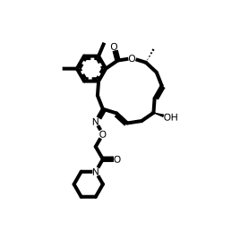 Cc1cc(C)c2c(c1)CC(=N/OCC(=O)N1CCCCC1)/C=C/C[C@H](O)/C=C/C[C@@H](C)OC2=O